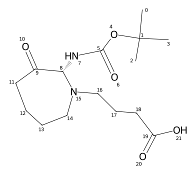 CC(C)(C)OC(=O)N[C@H]1C(=O)CCCCN1CCCC(=O)O